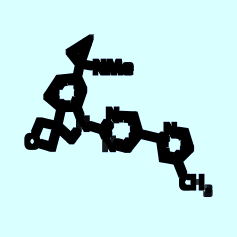 CNC1(c2ccc3c(c2)N(c2ncc(-c4cc(C)ccn4)cn2)CC32COC2)CC1